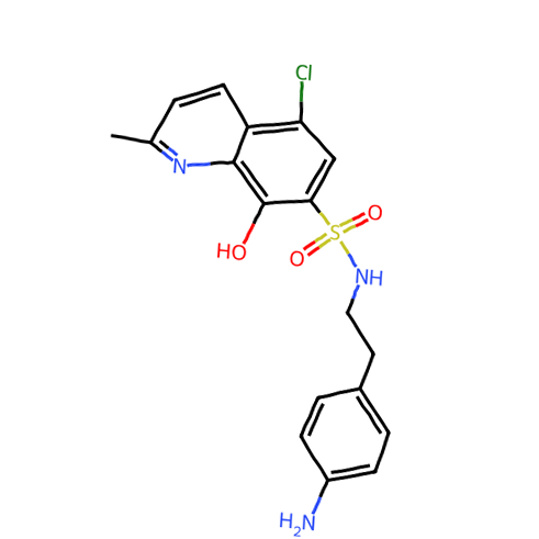 Cc1ccc2c(Cl)cc(S(=O)(=O)NCCc3ccc(N)cc3)c(O)c2n1